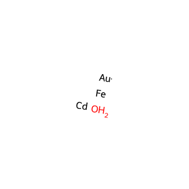 O.[Au].[Cd].[Fe]